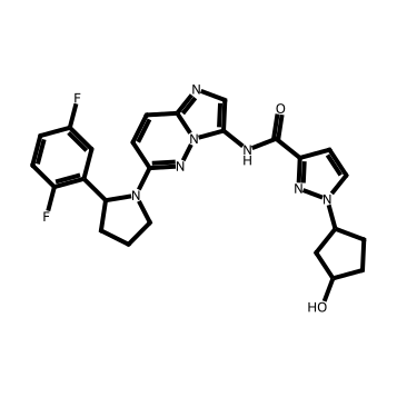 O=C(Nc1cnc2ccc(N3CCCC3c3cc(F)ccc3F)nn12)c1ccn(C2CCC(O)C2)n1